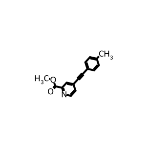 COC(=O)c1cc(C#Cc2ccc(C)cc2)ccn1